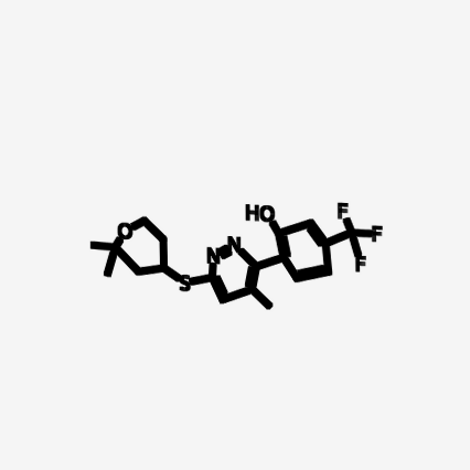 Cc1cc(SC2CCOC(C)(C)C2)nnc1-c1ccc(C(F)(F)F)cc1O